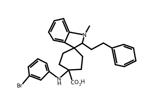 CN1c2ccccc2C2(CCC(Nc3cccc(Br)c3)(C(=O)O)CC2)C1CCc1ccccc1